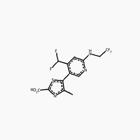 Cc1nc(C(=O)O)sc1-c1cnc(NCC(F)(F)F)cc1C(F)F